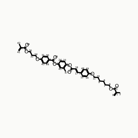 C=C(C)C(=O)OCCCCCCOc1ccc(/C=C/C(=O)Oc2ccc(OC(=O)c3ccc(OCCCOC(=O)C(=C)C)cc3)cc2C)cc1